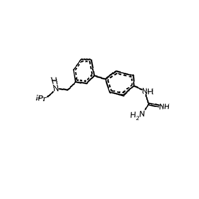 CC(C)NCc1cccc(-c2ccc(NC(=N)N)cc2)c1